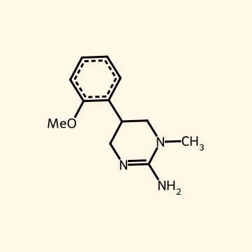 COc1ccccc1C1CN=C(N)N(C)C1